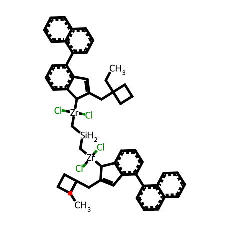 CCC1(CC2=Cc3c(-c4cccc5ccccc45)cccc3[CH]2[Zr]([Cl])([Cl])[CH2][SiH2][CH2][Zr]([Cl])([Cl])[CH]2C(CC3(CC)CCC3)=Cc3c(-c4cccc5ccccc45)cccc32)CCC1